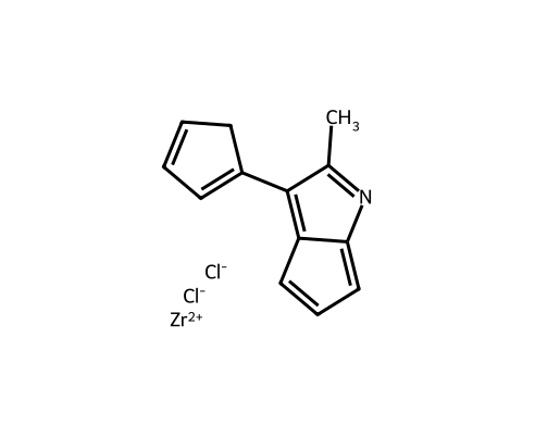 CC1=NC2=CC=CC2=C1C1=CC=CC1.[Cl-].[Cl-].[Zr+2]